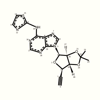 C#C[C@H]1O[C@@H](n2cnc3c(Nc4nccs4)ncnc32)[C@H]2OC(C)(C)O[C@@H]21